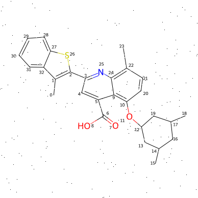 Cc1c(-c2cc(C(=O)O)c3c(OC4CC(C)CC(C)C4)ccc(C)c3n2)sc2ccccc12